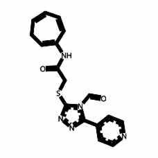 O=Cn1c(SCC(=O)NC2=CCC=CC=C2)nnc1-c1ccncc1